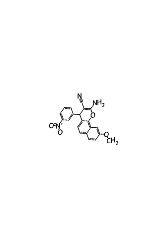 COc1ccc2ccc3c(c2c1)OC(N)=C(C#N)C3c1cccc([N+](=O)[O-])c1